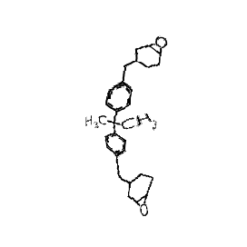 CC(C)(c1ccc(CC2CCC3OC3C2)cc1)c1ccc(CC2CCC3OC3C2)cc1